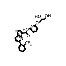 O=C(Nc1cccc(OC[C@H](O)CO)n1)c1cnc2ccc(-c3ccccc3C(F)(F)F)nn12